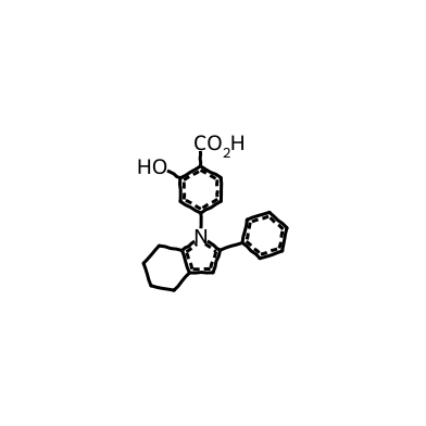 O=C(O)c1ccc(-n2c(-c3ccccc3)cc3c2CCCC3)cc1O